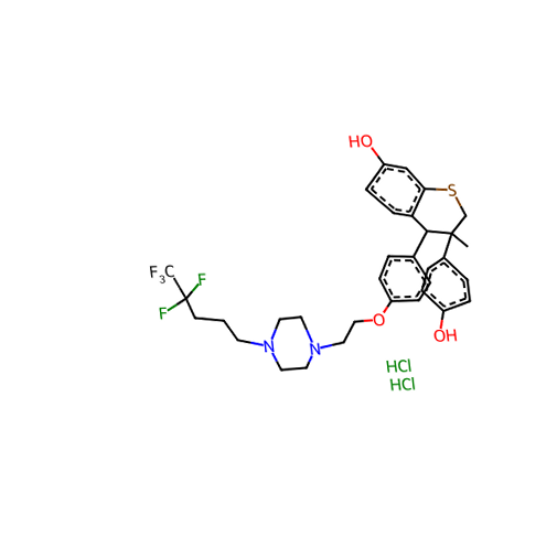 CC1(c2ccc(O)cc2)CSc2cc(O)ccc2C1c1ccc(OCCN2CCN(CCCC(F)(F)C(F)(F)F)CC2)cc1.Cl.Cl